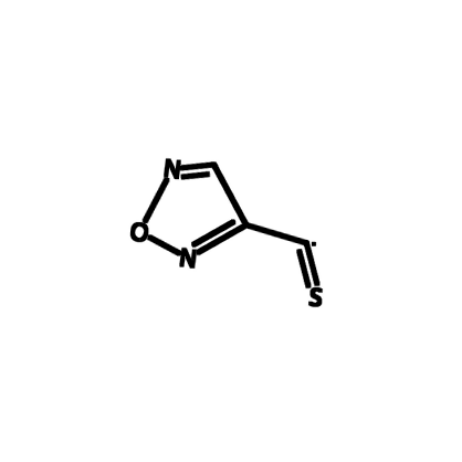 S=[C]c1cnon1